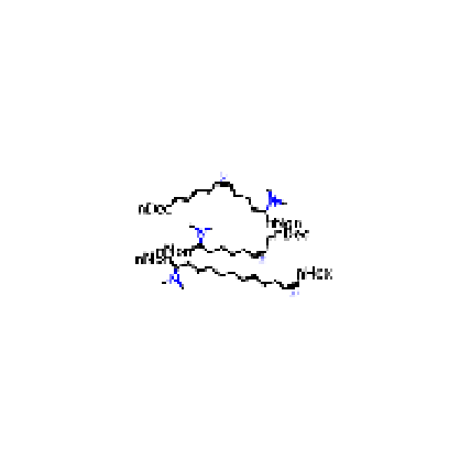 CCCCCC/C=C\CCCCCCCCCC(CCCCCCCCC)N(C)C.CCCCCCCCCCC/C=C\CCCCC(CCCCCCCCC)N(C)C.CCCCCCCCCCCCCC/C=C\CCCC(CCCCCCCCC)N(C)C